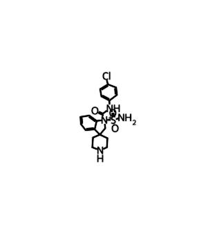 NS(=O)(=O)[N+]1(C(=O)Nc2ccc(Cl)cc2)CC2(CCNCC2)c2ccccc21